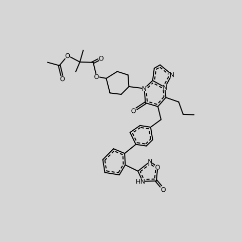 CCCc1c(Cc2ccc(-c3ccccc3-c3noc(=O)[nH]3)cc2)c(=O)n(C2CCC(OC(=O)C(C)(C)OC(C)=O)CC2)c2ccnn12